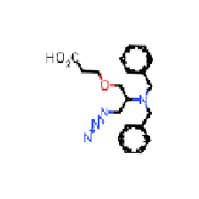 [N-]=[N+]=NCC(COCCC(=O)O)N(Cc1ccccc1)Cc1ccccc1